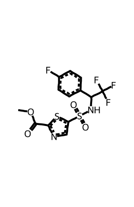 COC(=O)c1ncc(S(=O)(=O)NC(c2ccc(F)cc2)C(F)(F)F)s1